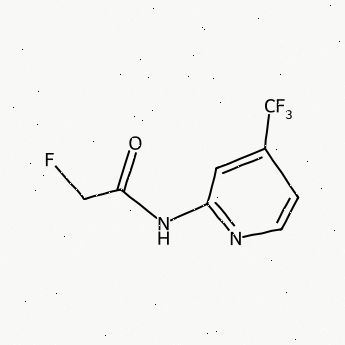 O=C(CF)Nc1cc(C(F)(F)F)ccn1